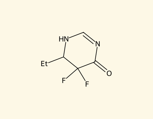 CCC1NC=NC(=O)C1(F)F